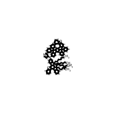 CCCCCCCC1(CCCCCCC)c2cc(N(c3ccncc3)c3ccc4c(c3)C(c3ccccc3)(c3ccccc3)c3cc5c(cc3-4)C(c3ccccc3)(c3ccccc3)c3ccc4oc6ccccc6c4c3-5)ccc2-c2c1c1c(c3c2oc2ccccc23)-c2ccccc2C1(CCCCCCC)CCCCCCC